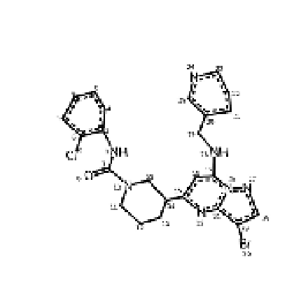 O=C(Nc1ccccc1Cl)N1CCCC(c2cc(NCc3cccnc3)n3ncc(Br)c3n2)C1